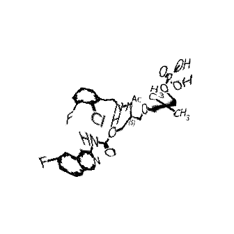 CC(=O)N(NCc1cccc(F)c1Cl)[C@@H](COCC(C)(C)COP(=O)(O)O)COC(=O)Nc1cc2cc(F)ccc2cn1